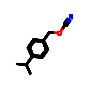 CC(C)c1ccc(COC#N)cc1